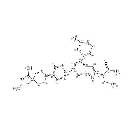 CCCC1(C(=O)O)CCN(c2ncc(-c3cc(-c4nccc(C)n4)c4sc(N(CC)C(N)=O)nc4c3)cn2)CC1